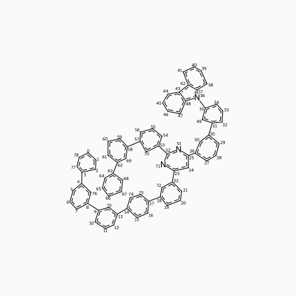 c1ccc(-c2cccc(-c3cccc(-c4ccc(-c5cccc(-c6cc(-c7cccc(-c8cccc(-n9c%10ccccc%10c%10ccccc%109)c8)c7)nc(-c7cccc(-c8cccc(-c9ccccc9)c8)c7)n6)c5)cc4)c3)c2)cc1